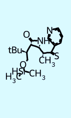 C[C@@H](C(=S)c1cccnc1)[C@H]1NC(=O)[C@H]1[C@@H](CO[SiH](C)C)C(C)(C)C